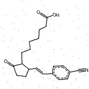 N#Cc1ccc(C=CC2CCC(=O)C2CCCCCCC(=O)O)cc1